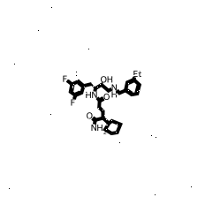 CCc1cccc(CNC[C@@H](O)[C@H](Cc2cc(F)cc(F)c2)NC(=O)CCC(C(N)=O)C2CCCCC2)c1